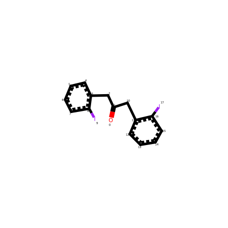 O=C(Cc1ccccc1I)Cc1ccccc1I